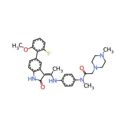 COc1cccc(F)c1-c1ccc2c(c1)/C(=C(\C)Nc1ccc(N(C)C(=O)CN3CCN(C)CC3)cc1)C(=O)N2